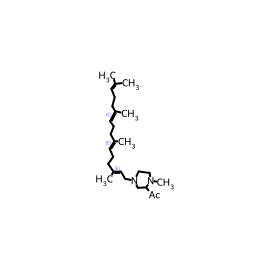 CC(=O)C1CN(C/C=C(\C)CC/C=C(\C)CC/C=C(\C)CCC=C(C)C)CCN1C